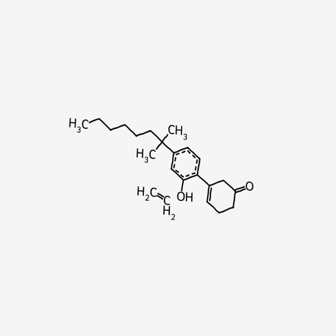 C=C.CCCCCCC(C)(C)c1ccc(C2=CCCC(=O)C2)c(O)c1